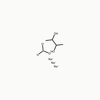 CC(O)C(C)O.[Na+].[Na+].[Na+].[O-]B([O-])[O-]